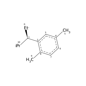 C[CH][C@@H](c1cc(C)ccc1C)C(C)C